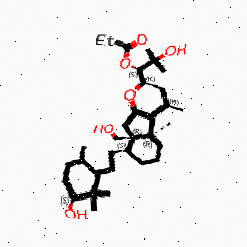 CCC(=O)O[C@@H]([C@H]1C[C@@H](C)C2C(C[C@@]3(CO)[C@H](CCC4C(C)CC[C@H](O)C4(C)C)CCC[C@]23C)O1)C(C)(C)O